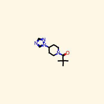 CC(C)(C)C(=O)N1CCC(n2cncn2)CC1